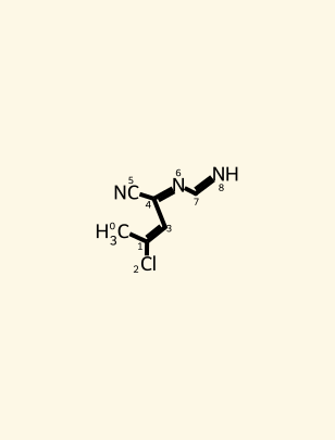 C/C(Cl)=C\C(C#N)=N/C=N